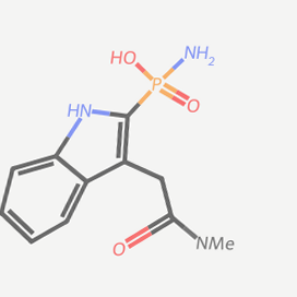 CNC(=O)Cc1c(P(N)(=O)O)[nH]c2ccccc12